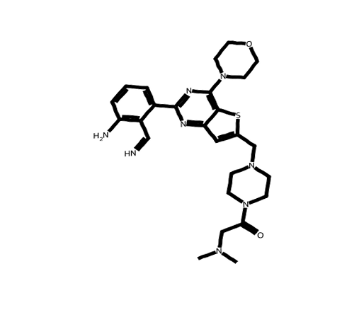 CN(C)CC(=O)N1CCN(Cc2cc3nc(-c4cccc(N)c4C=N)nc(N4CCOCC4)c3s2)CC1